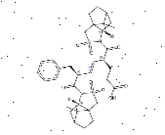 CC1(C)C2CCC13CS(=O)(=O)N(C(=O)[C@H](/C=C/[C@H](Cc1ccccc1)C(=O)N1[C@H]4CC5CCC4(CS1(=O)=O)C5(C)C)CCC(=O)O)[C@H]3C2